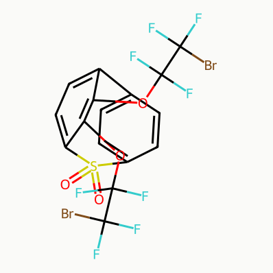 O=S1(=O)c2ccc(cc2)-c2ccc1c(OC(F)(F)C(F)(F)Br)c2OC(F)(F)C(F)(F)Br